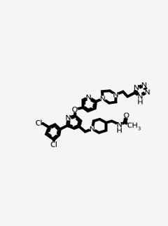 CC(=O)NCC1CCN(Cc2cc(Oc3ccc(N4CCN(CCc5nnn[nH]5)CC4)nc3)nc(-c3cc(Cl)cc(Cl)c3)c2)CC1